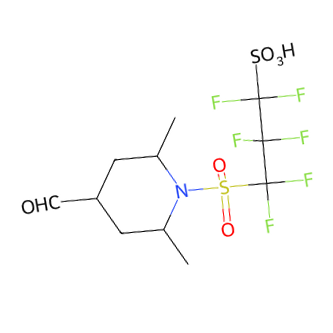 CC1CC(C=O)CC(C)N1S(=O)(=O)C(F)(F)C(F)(F)C(F)(F)S(=O)(=O)O